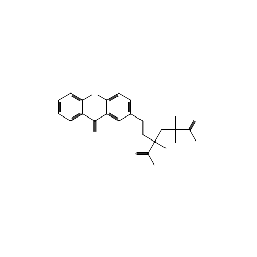 CC(=O)C(C)(C)CC(C)(CCc1ccc2oc3ccccc3c(=O)c2c1)C(C)=O